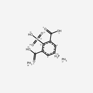 O=C(O)c1cccc(C(=O)O)c1S(=O)(=O)O.P.P.P